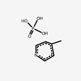 Cc1ccncc1.O=P(O)(O)O